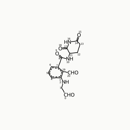 O=CCNc1cccc(C(=O)NC2CCC(=O)NC2=O)c1C=O